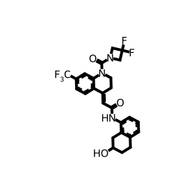 O=C(/C=C1\CCN(C(=O)N2CC(F)(F)C2)c2cc(C(F)(F)F)ccc21)Nc1cccc2c1CC(O)CC2